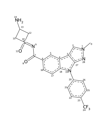 Cn1cc2c3cc(C(=O)N=S4(=O)CC(N)C4)ccc3n(-c3ccc(C(F)(F)F)cc3)c2n1